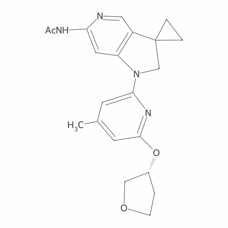 CC(=O)Nc1cc2c(cn1)C1(CC1)CN2c1cc(C)cc(O[C@@H]2CCOC2)n1